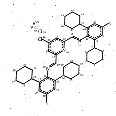 Cc1cc(C2CCCCC2)c(N=Cc2cc(Cl)cc(C=Nc3c(C4CCCCC4)cc(C)cc3C3CCCCC3)n2)c(C2CCCCC2)c1.[Cl-].[Cl-].[V+2]